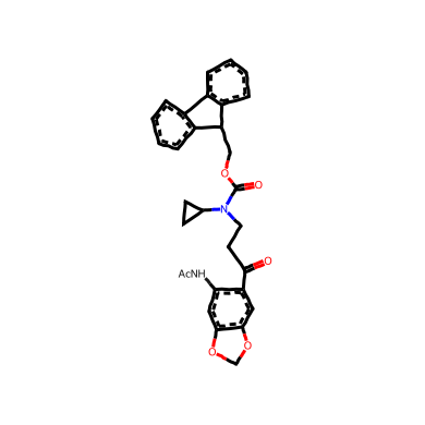 CC(=O)Nc1cc2c(cc1C(=O)CCN(C(=O)OCC1c3ccccc3-c3ccccc31)C1CC1)OCO2